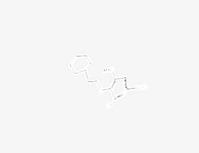 COc1cc(C=O)cc(Cl)c1OCCC1CCCCC1